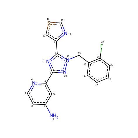 Nc1ccnc(-c2nc(-c3cscn3)n(Cc3ccccc3F)n2)c1